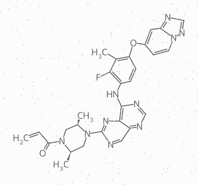 C=CC(=O)N1C[C@@H](C)N(c2ncc3ncnc(Nc4ccc(Oc5ccn6ncnc6c5)c(C)c4F)c3n2)C[C@H]1C